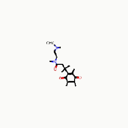 CC1=C(C)C(=O)C(C(C)(C)CC(=O)N(C)CCN(C)C=O)=C(C)C1=O